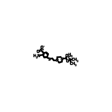 CC(C)(C)OC(=O)N1CCN(CCSc2ccc([N+](=O)[O-])c(N)c2)CC1